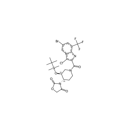 CC(C)(C)[Si](C)(C)O[C@H]1CN(C(=O)c2nc3c(C(F)(F)F)cc(Br)cn3c2Cl)CC[C@@H]1N1C(=O)COC1=O